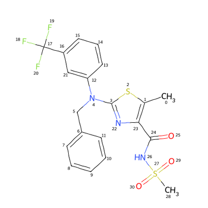 Cc1sc(N(Cc2ccccc2)c2cccc(C(F)(F)F)c2)nc1C(=O)NS(C)(=O)=O